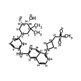 CC1(C)CN(c2nccc(Nc3cc4ccnc(N5CC(CS(C)(=O)=O)C5)c4cn3)n2)C[C@H](F)[C@@H]1O